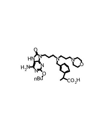 CCCCOc1nc(N)c2[nH]c(=O)n(CCCN(CCCN3CCOCC3)Cc3cccc(C(C)C(=O)O)c3)c2n1